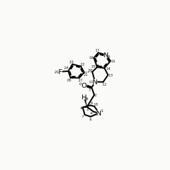 O=C(C[C@@H]1CN2CCC1CC2)N1CCc2cnccc2[C@H]1c1ccc(F)cc1